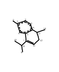 Cc1ccc2c(c1)C(C(C)C)=CCC2C